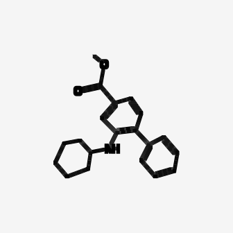 COC(=O)c1ccc(-c2ccccc2)c(NC2CCCCC2)c1